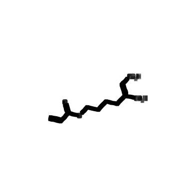 C=CC(=O)OCCCC/C(=C/C(=O)O)C(=O)O